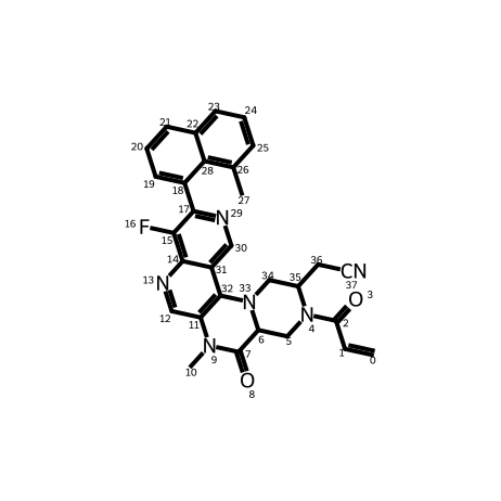 C=CC(=O)N1CC2C(=O)N(C)c3cnc4c(F)c(-c5cccc6cccc(C)c56)ncc4c3N2CC1CC#N